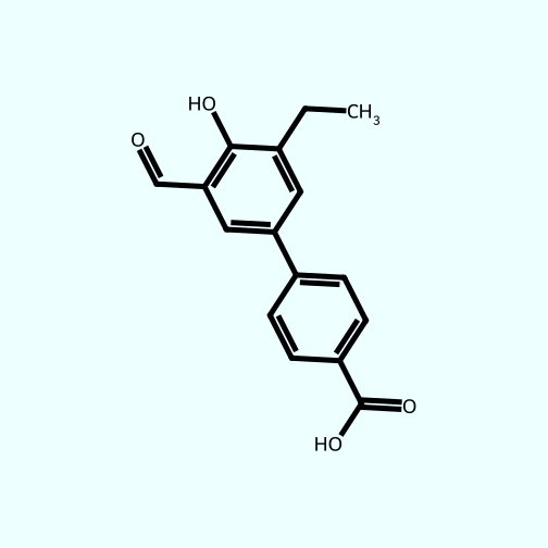 CCc1cc(-c2ccc(C(=O)O)cc2)cc(C=O)c1O